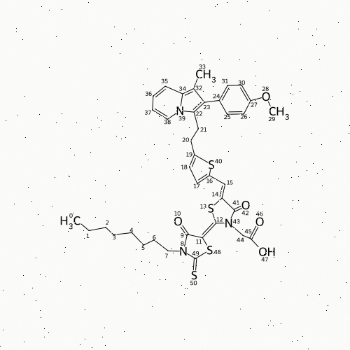 CCCCCCCCN1C(=O)/C(=c2\s/c(=C\c3ccc(CCc4c(-c5ccc(OC)cc5)c(C)c5ccccn45)s3)c(=O)n2CC(=O)O)SC1=S